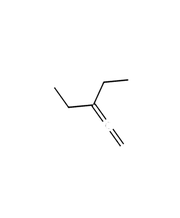 C=C=C(CC)CC